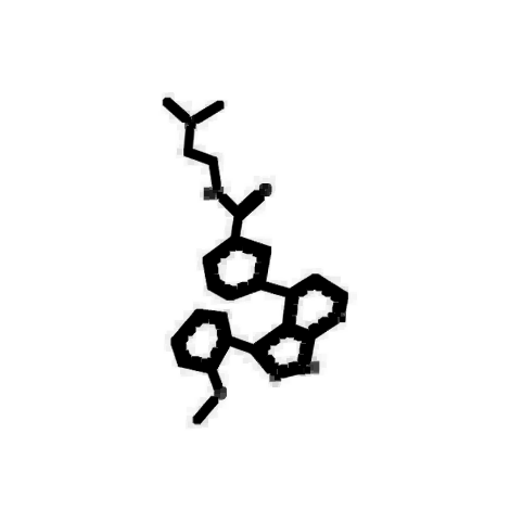 COc1ccccc1-c1n[nH]c2nccc(-c3cccc(C(=O)NCCN(C)C)c3)c12